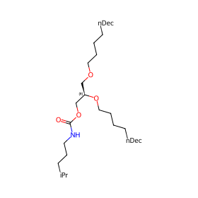 CCCCCCCCCCCCCCOC[C@H](COC(=O)NCCCC(C)C)OCCCCCCCCCCCCCC